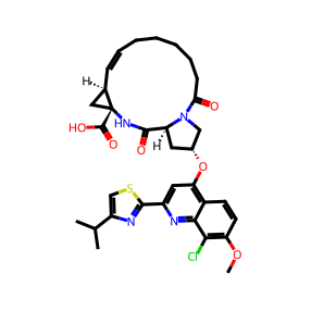 COc1ccc2c(O[C@@H]3C[C@H]4C(=O)N[C@]5(C(=O)O)C[C@H]5/C=C\CCCCCC(=O)N4C3)cc(-c3nc(C(C)C)cs3)nc2c1Cl